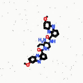 CCC(NC(=O)c1cccc2nc3cc(OC)ccc3nc12)C(N)C(CC)NC(=O)c1cccc2nc3cc(OC)ccc3nc12